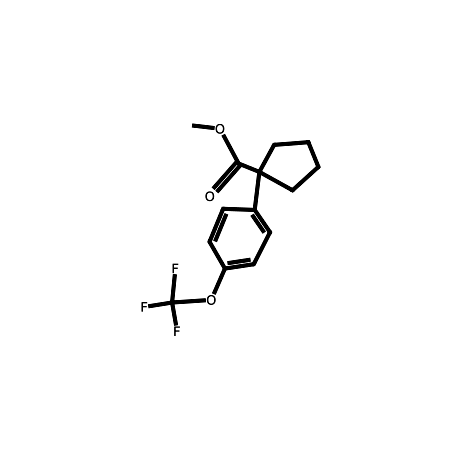 COC(=O)C1(c2ccc(OC(F)(F)F)cc2)CCCC1